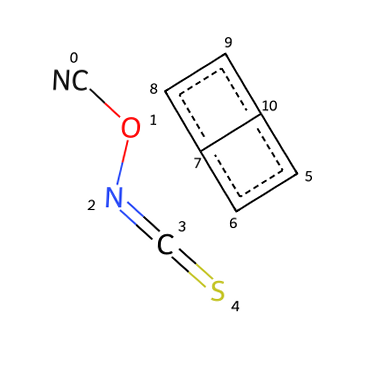 N#CON=C=S.c1cc2ccc1-2